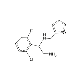 NCC(NCc1ccco1)c1c(Cl)cccc1Cl